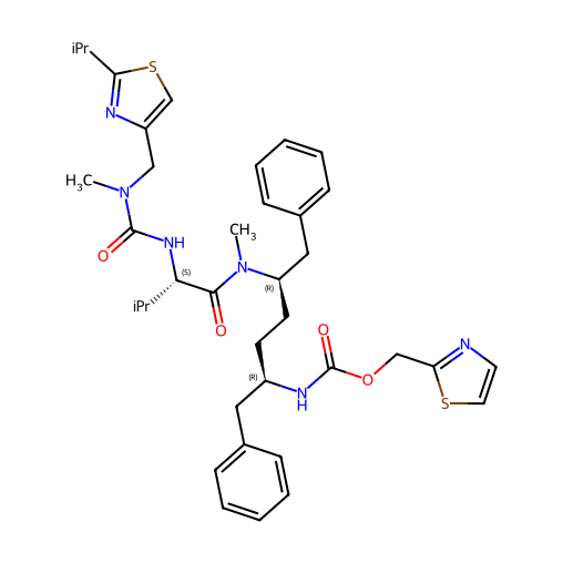 CC(C)c1nc(CN(C)C(=O)N[C@H](C(=O)N(C)[C@H](CC[C@H](Cc2ccccc2)NC(=O)OCc2nccs2)Cc2ccccc2)C(C)C)cs1